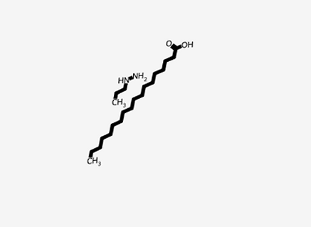 CCCCCCCCCCCCCCCCCC(=O)O.CCCNN